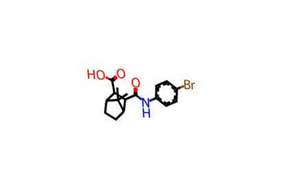 CC1(C)C2CCC1C(C(=O)Nc1ccc(Br)cc1)C2C(=O)O